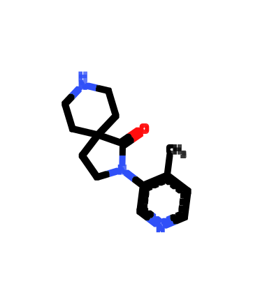 Cc1ccncc1N1CCC2(CCNCC2)C1=O